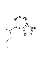 CCCC(C)c1ncnc2[nH]cnc12